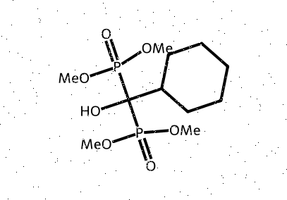 COP(=O)(OC)C(O)(C1CCCCC1)P(=O)(OC)OC